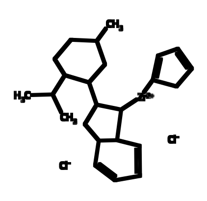 CC1CCC(C(C)C)C(C2CC3C=CC=CC3[CH]2[Zr+2][C]2=CC=CC2)C1.[Cl-].[Cl-]